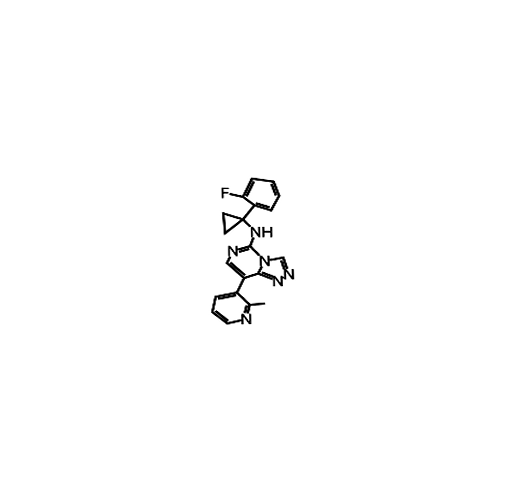 Cc1ncccc1-c1cnc(NC2(c3ccccc3F)CC2)n2cnnc12